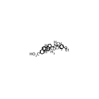 CCOc1ccc(C(C)(C)NC(=O)C2CC[C@H]3[C@@H]4CC=C5C=C(C(=O)O)CC[C@]5(C)[C@H]4CC[C@]23C)cc1